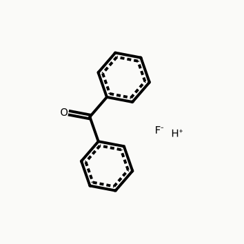 O=C(c1ccccc1)c1ccccc1.[F-].[H+]